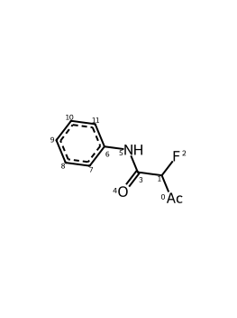 CC(=O)C(F)C(=O)Nc1ccccc1